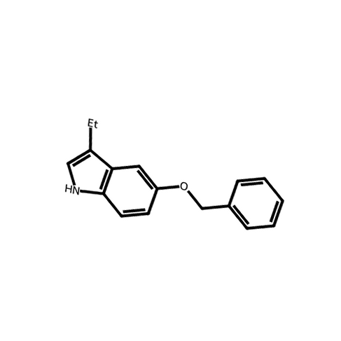 CCc1c[nH]c2ccc(OCc3ccccc3)cc12